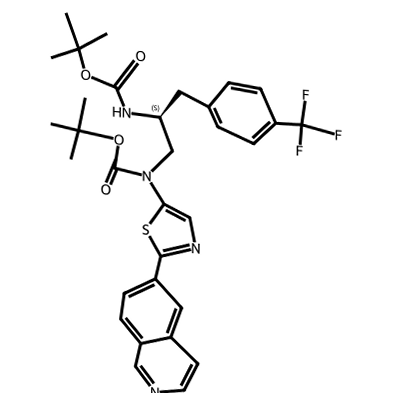 CC(C)(C)OC(=O)N[C@@H](Cc1ccc(C(F)(F)F)cc1)CN(C(=O)OC(C)(C)C)c1cnc(-c2ccc3cnccc3c2)s1